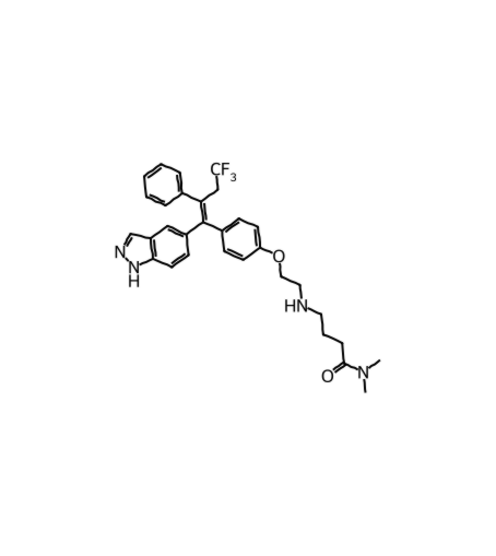 CN(C)C(=O)CCCNCCOc1ccc(C(=C(CC(F)(F)F)c2ccccc2)c2ccc3[nH]ncc3c2)cc1